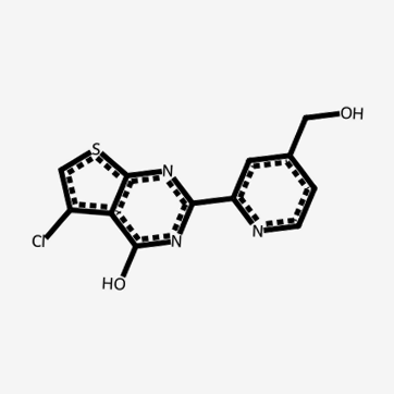 OCc1ccnc(-c2nc(O)c3c(Cl)csc3n2)c1